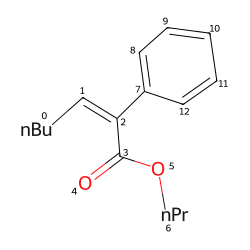 CCCCC=C(C(=O)OCCC)c1ccccc1